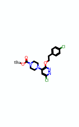 CC(C)(C)OC(=O)N1CCN(c2cc(Cl)nnc2OCCc2ccc(Cl)cc2)CC1